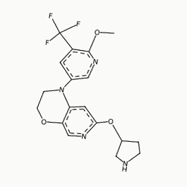 COc1ncc(N2CCOc3cnc(OC4CCNC4)cc32)cc1C(F)(F)F